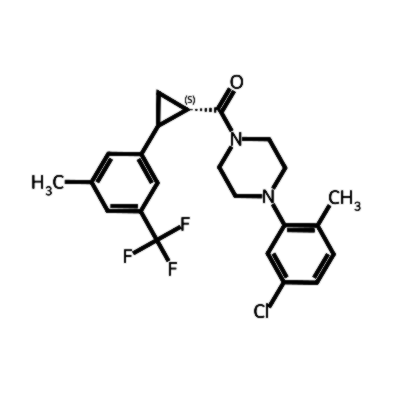 Cc1cc(C2C[C@@H]2C(=O)N2CCN(c3cc(Cl)ccc3C)CC2)cc(C(F)(F)F)c1